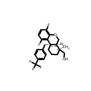 C[C@]1(CO)CCC[C@@]2(Cc3ccc(C(F)(F)F)cc3)c3c(F)ccc(F)c3OC[C@@H]12